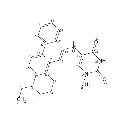 CCC1CCCc2c1ccc1c2cc(Nc2cn(C)c(=O)[nH]c2=O)c2ccccc21